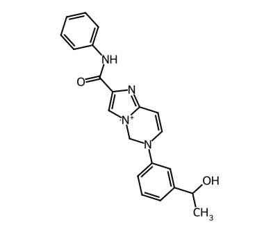 CC(O)c1cccc(N2C=CC3=NC(C(=O)Nc4ccccc4)=C[N+]3C2)c1